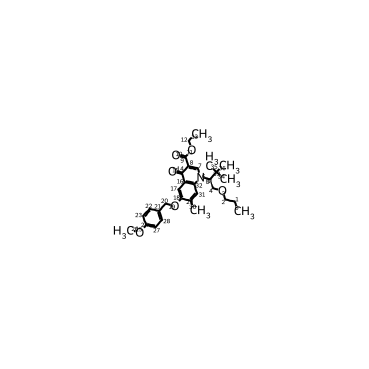 CCCOC[C@@H](n1cc(C(=O)OCC)c(=O)c2cc(OCc3ccc(OC)cc3)c(C)cc21)C(C)(C)C